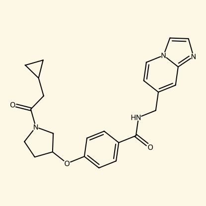 O=C(NCc1ccn2ccnc2c1)c1ccc(OC2CCN(C(=O)CC3CC3)C2)cc1